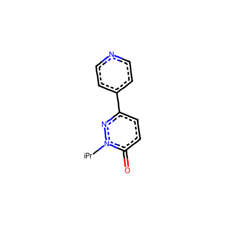 CC(C)n1nc(-c2ccncc2)ccc1=O